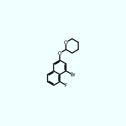 Fc1cccc2cc(OC3CCCCO3)cc(Br)c12